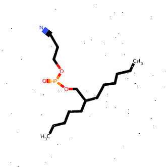 CCCCCCC(CCCCC)CO[PH](=O)OCCC#N